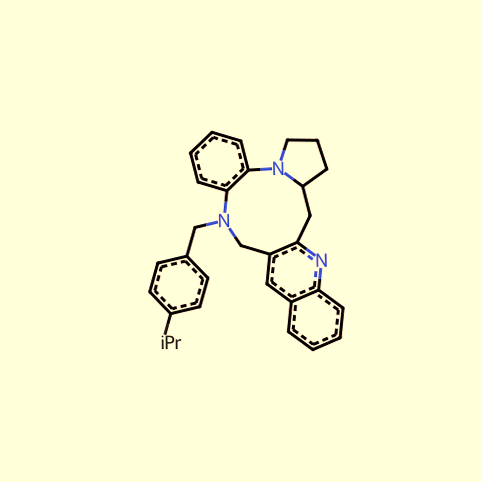 CC(C)c1ccc(CN2Cc3cc4ccccc4nc3CC3CCCN3c3ccccc32)cc1